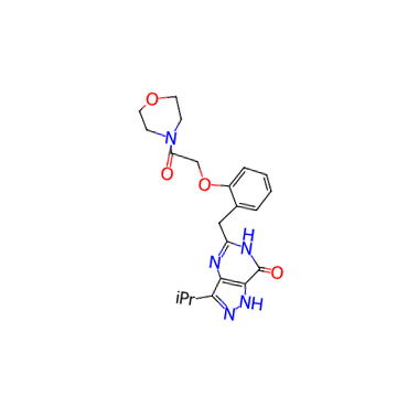 CC(C)c1n[nH]c2c(=O)[nH]c(Cc3ccccc3OCC(=O)N3CCOCC3)nc12